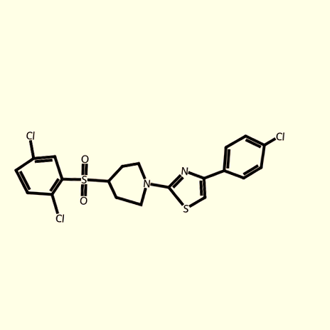 O=S(=O)(c1cc(Cl)ccc1Cl)C1CCN(c2nc(-c3ccc(Cl)cc3)cs2)CC1